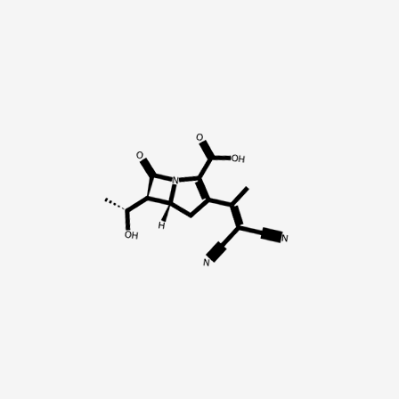 CC(=C(C#N)C#N)C1=C(C(=O)O)N2C(=O)[C@H]([C@@H](C)O)[C@H]2C1